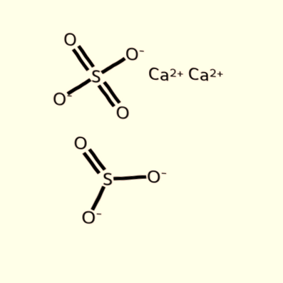 O=S(=O)([O-])[O-].O=S([O-])[O-].[Ca+2].[Ca+2]